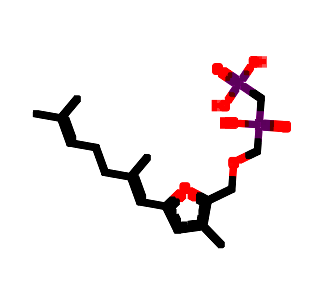 CC(C)=CCC/C(C)=C/c1cc(C)c(COCP(=O)(O)CP(=O)(O)O)o1